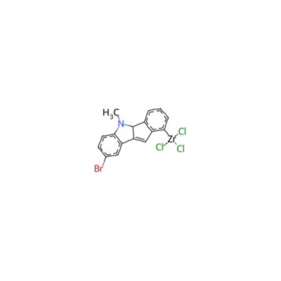 CN1c2ccc(Br)cc2C2=Cc3c(ccc[c]3[Zr]([Cl])([Cl])[Cl])C21